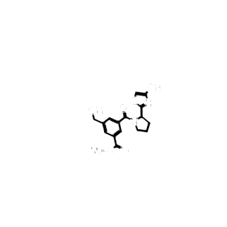 COC(=O)c1cc(CO)cc(C(=O)N2CCCC2c2nc(C)cs2)c1